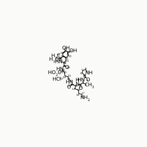 CC(NC(=O)[C@@H]1CCCN1)C(=O)NC(CCCCN)C(=O)NCCCCC(NC(=O)[C@@H]1Cc2cc(O)c(O)cc2C(C)(C)N1)C(=O)O.Cl